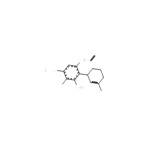 C=C[C@@H]1CCC(C)=CC1c1c(O)cc(CCCCC)c(I)c1O